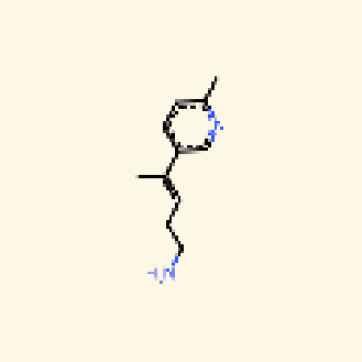 CC(=CCCN)c1ccc(C)nc1